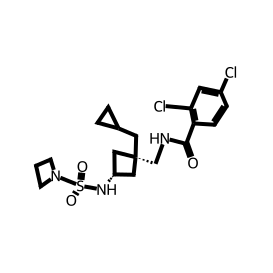 O=C(NC[C@]1(CC2CC2)C[C@H](NS(=O)(=O)N2CCC2)C1)c1ccc(Cl)cc1Cl